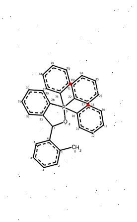 Cc1ccccc1C1OP(c2ccccc2)(c2ccccc2)(c2ccccc2)c2ccccc21